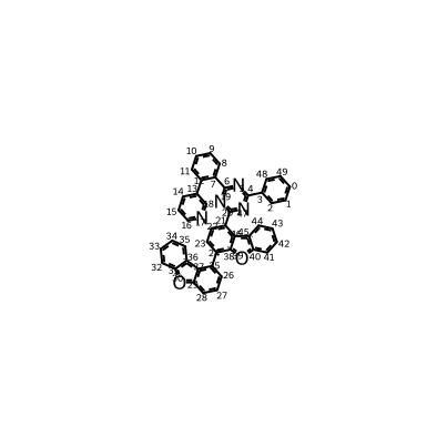 c1ccc(-c2nc(-c3ccccc3-c3cccnc3)nc(-c3ccc(-c4cccc5oc6ccccc6c45)c4oc5ccccc5c34)n2)cc1